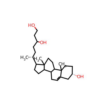 C[C@H](CCC(O)CCO)C1CCC2C3CC=C4C[C@@H](O)CCC4(C)C3CCC21C